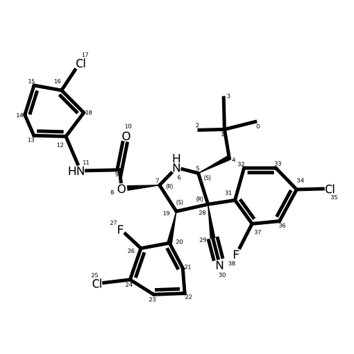 CC(C)(C)C[C@@H]1N[C@H](OC(=O)Nc2cccc(Cl)c2)[C@H](c2cccc(Cl)c2F)[C@@]1(C#N)c1ccc(Cl)cc1F